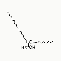 CCCCCCCCCCCCCCCCCC(OCCCCCCCCCC)C(O)S